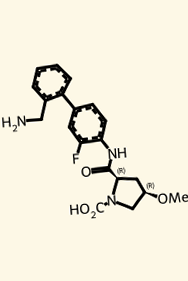 CO[C@@H]1C[C@H](C(=O)Nc2ccc(-c3ccccc3CN)cc2F)N(C(=O)O)C1